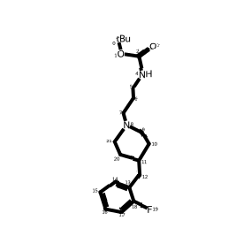 CC(C)(C)OC(=O)NCCCN1CCC(Cc2ccccc2F)CC1